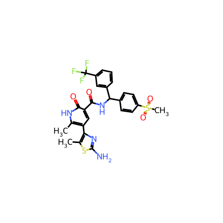 Cc1[nH]c(=O)c(C(=O)NC(c2ccc(S(C)(=O)=O)cc2)c2cccc(C(F)(F)F)c2)cc1-c1nc(N)sc1C